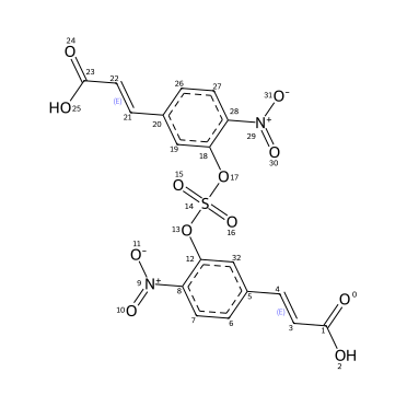 O=C(O)/C=C/c1ccc([N+](=O)[O-])c(OS(=O)(=O)Oc2cc(/C=C/C(=O)O)ccc2[N+](=O)[O-])c1